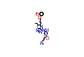 CCC(C)C(/C=C/COc1ccccc1OC)=N\c1c(C)ncnc1NC1CCN(C(=O)/C=C/CN(C)C)C1